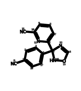 N#Cc1ccc(C2(c3cccc(C#N)n3)N=CON2)cc1